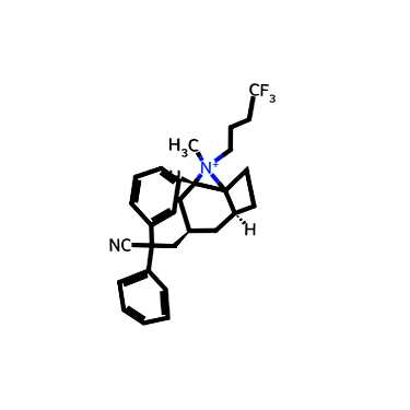 C[N+]1(CCCC(F)(F)F)[C@H]2C[C@H](CC(C#N)(c3ccccc3)c3ccccc3)C[C@@H]3CCC321